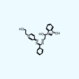 OCCn1ccc(=NN=C(N=NCC(O)[n+]2cn(O)c3ccccc32)c2ccccc2)cc1